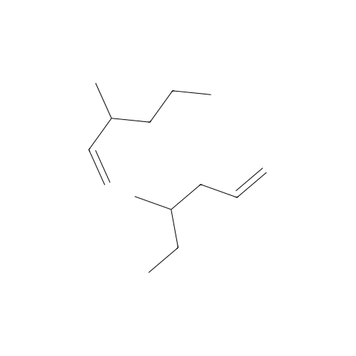 C=CC(C)CCC.C=CCC(C)CC